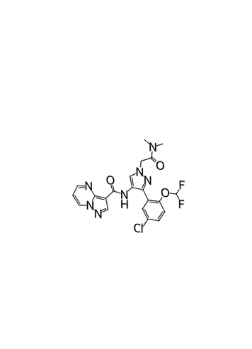 CN(C)C(=O)Cn1cc(NC(=O)c2cnn3cccnc23)c(-c2cc(Cl)ccc2OC(F)F)n1